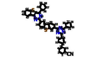 N#Cc1cccc(-c2ccc(-c3nc(-c4ccccc4)nc(-c4ccc5c(c4)sc4ccc(-c6nc(-c7ccccc7)c7sc8ccccc8c7n6)cc45)n3)cc2)c1